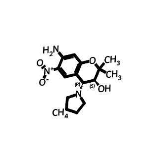 C.CC1(C)Oc2cc(N)c([N+](=O)[O-])cc2[C@@H](N2CCCC2)[C@@H]1O